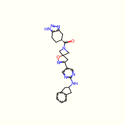 O=C([C@H]1CCc2[nH]nnc2C1)N1CC2(CC(c3cnc(NC4Cc5ccccc5C4)nc3)=NO2)C1